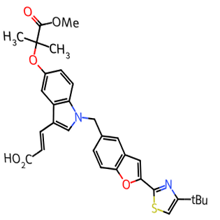 COC(=O)C(C)(C)Oc1ccc2c(c1)c(/C=C/C(=O)O)cn2Cc1ccc2oc(-c3nc(C(C)(C)C)cs3)cc2c1